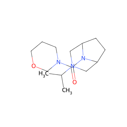 CC(C)N1CC2CCC(C1)N2C(=O)N1CCCOC1